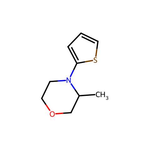 CC1COCCN1c1cccs1